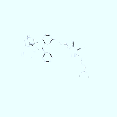 CCOC(CCCNC(=O)c1coc(COc2cccc([C@H](c3ccccc3)N(C(=O)O)[C@H]3CN4CCC3CC4)c2)n1)OCC